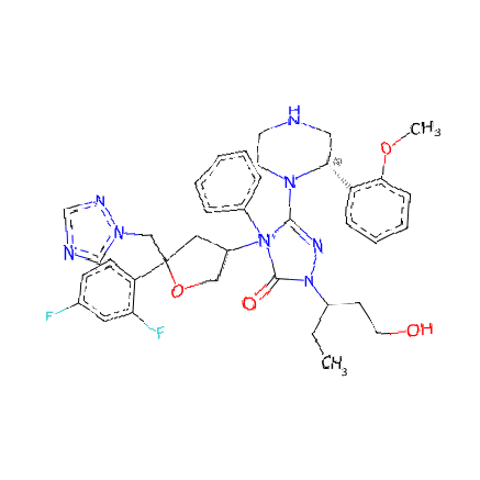 CCC(CCO)N1N=C(N2CCNC[C@@H]2c2ccccc2OC)[N+](c2ccccc2)(C2COC(Cn3cncn3)(c3ccc(F)cc3F)C2)C1=O